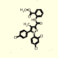 COC(=O)c1ccccc1NC(=O)c1nn(-c2ccc(Cl)cc2Cl)c(-c2ccc(Cl)cc2)c1C